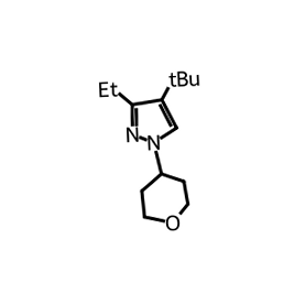 CCc1nn(C2CCOCC2)cc1C(C)(C)C